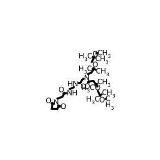 COC(C)(C)COC(C)(C)CCN(CC(=O)NCCNC(=O)CCN1C(=O)CCC1=O)C(=O)CC(C)(C)OCC(C)(C)OC